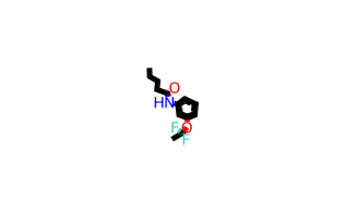 CCCCC(=O)Nc1cccc(OC(C)(F)F)c1